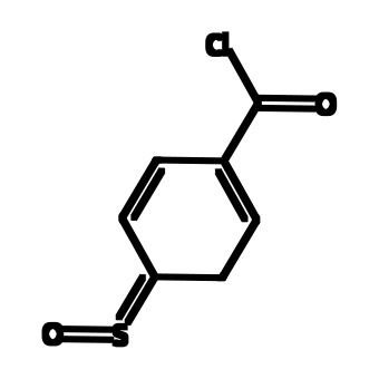 O=S=C1C=CC(C(=O)Cl)=CC1